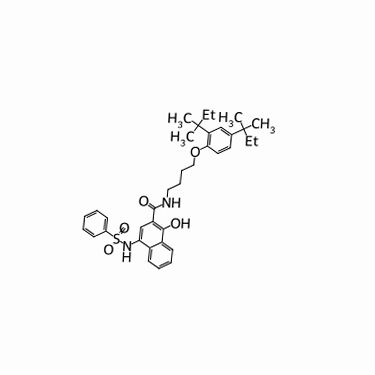 CCC(C)(C)c1ccc(OCCCCNC(=O)c2cc(NS(=O)(=O)c3ccccc3)c3ccccc3c2O)c(C(C)(C)CC)c1